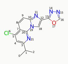 CC(C)c1cc(Cl)c2ccc3nc(-c4nnco4)cn3c2n1